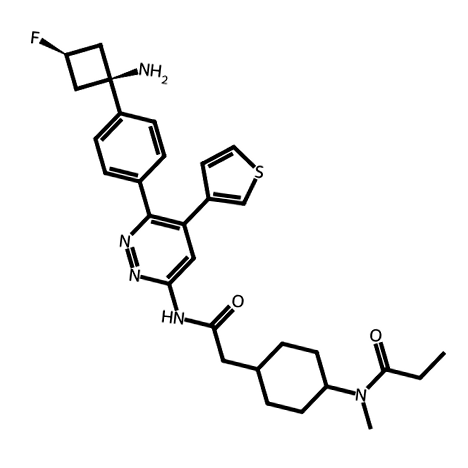 CCC(=O)N(C)C1CCC(CC(=O)Nc2cc(-c3ccsc3)c(-c3ccc([C@]4(N)C[C@@H](F)C4)cc3)nn2)CC1